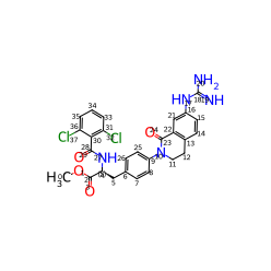 COC(=O)[C@H](Cc1ccc(N2CCc3ccc(NC(=N)N)cc3C2=O)cc1)NC(=O)c1c(Cl)cccc1Cl